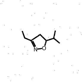 CCC1=NOC(C(C)C)C1